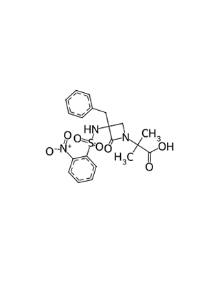 CC(C)(C(=O)O)N1CC(Cc2ccccc2)(NS(=O)(=O)c2ccccc2[N+](=O)[O-])C1=O